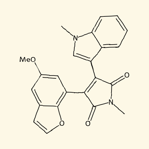 COc1cc(C2=C(c3cn(C)c4ccccc34)C(=O)N(C)C2=O)c2occc2c1